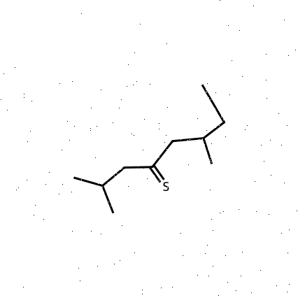 CCC(C)CC(=S)CC(C)C